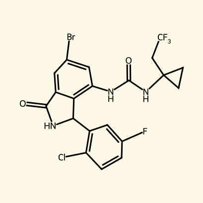 O=C(Nc1cc(Br)cc2c1C(c1cc(F)ccc1Cl)NC2=O)NC1(CC(F)(F)F)CC1